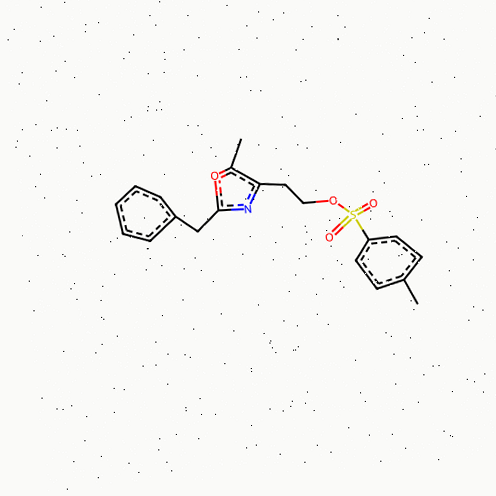 Cc1ccc(S(=O)(=O)OCCc2nc(Cc3ccccc3)oc2C)cc1